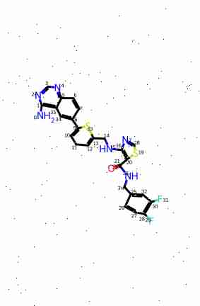 Nc1ncnc2ccc(C3=CCC=C(CNc4ncsc4C(=O)NCc4ccc(F)c(F)c4)S3)cc12